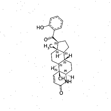 C[C@]12C=CC(=O)N[C@@H]1CC[C@@H]1[C@@H]2CC[C@]2(C)[C@@H](C(=O)c3ccccc3O)CC[C@@H]12